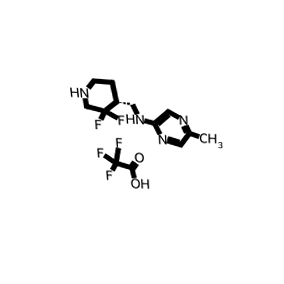 Cc1cnc(NC[C@H]2CCNCC2(F)F)cn1.O=C(O)C(F)(F)F